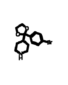 Brc1ccc(C2(C3CCNCC3)OCCO2)cc1